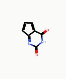 O=C1N=C2C=CC=C2C(=O)N1